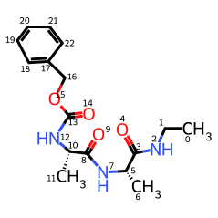 CCNC(=O)[C@H](C)NC(=O)[C@H](C)NC(=O)OCc1ccccc1